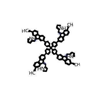 C#Cc1ccc2c(c1)/C(=C\C1=CCCN1)c1cc(-c3ccc(C(c4ccc(-c5ccc6c(c5)/C(=C/C5=CCCN5)c5cc(C#C)ccc5-6)cc4)(c4ccc(-c5ccc6c(c5)/C(=C/c5ccc[nH]5)c5cc(C#C)ccc5-6)cc4)c4ccc(-c5ccc6c(c5)/C(=C/c5ccc[nH]5)c5cc(C#C)ccc5-6)cc4)cc3)ccc1-2